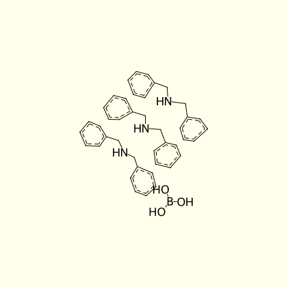 OB(O)O.c1ccc(CNCc2ccccc2)cc1.c1ccc(CNCc2ccccc2)cc1.c1ccc(CNCc2ccccc2)cc1